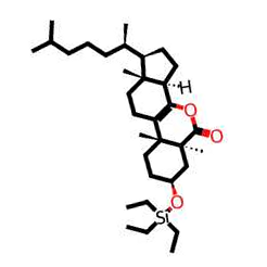 CC[Si](CC)(CC)O[C@H]1CC[C@]2(C)C3=C(OC(=O)[C@@]2(C)C1)[C@@H]1CC[C@H]([C@H](C)CCCC(C)C)[C@@]1(C)CC3